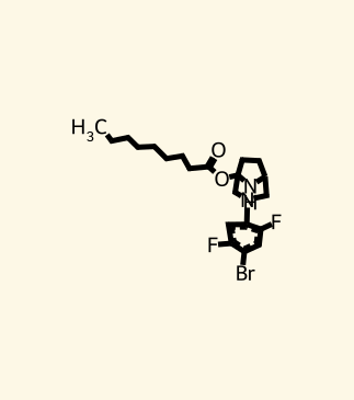 CCCCCCCCC(=O)OC12CCC(CN(c3cc(F)c(Br)cc3F)C1)N2